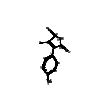 CC1=C(c2ccc(O)cc2)C(=O)NC1=O